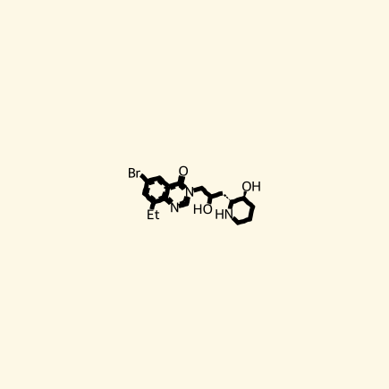 CCc1cc(Br)cc2c(=O)n(CC(O)C[C@H]3NCCC[C@@H]3O)cnc12